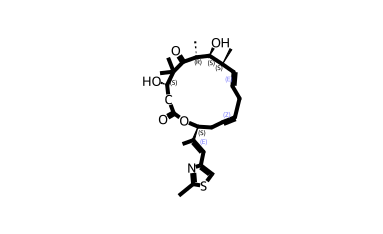 C/C(=C\c1csc(C)n1)[C@@H]1C/C=C\C/C=C/[C@H](C)[C@H](O)[C@@H](C)C(=O)C(C)(C)[C@@H](O)CC(=O)O1